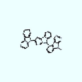 Cn1c2ccccc2c2c(-n3c4ccccc4c4cc(-n5c6ccccc6c6ccccc65)ccc43)cccc21